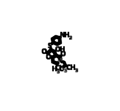 Cc1cc2oc(=O)c(Sc3ccc(N)cc3)c(O)c2c(=O)n1CC(C)C